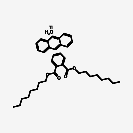 CCCCCCCCOC(=O)c1ccccc1C(=O)OCCCCCCCC.O.[Ti].c1ccc2cc3ccccc3cc2c1